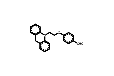 O=Cc1ccc(OCCN2c3ccccc3Cc3ccccc32)cc1